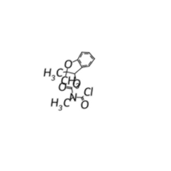 CN(C(=O)Cl)C(=O)OC1c2ccccc2OC1(C)C